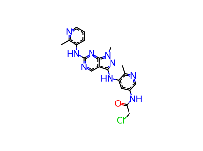 Cc1ncccc1Nc1ncc2c(Nc3cc(NC(=O)CCl)cnc3C)nn(C)c2n1